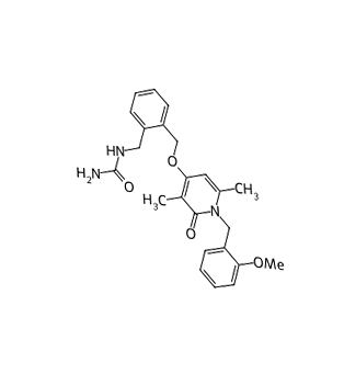 COc1ccccc1Cn1c(C)cc(OCc2ccccc2CNC(N)=O)c(C)c1=O